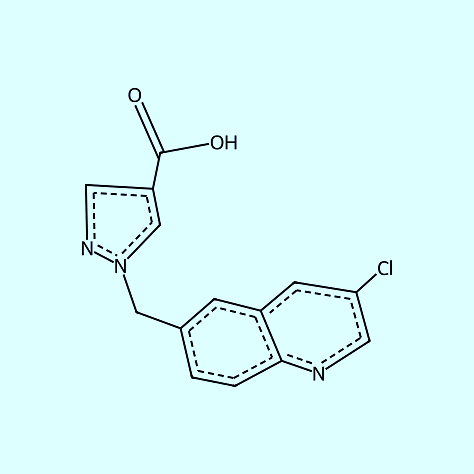 O=C(O)c1cnn(Cc2ccc3ncc(Cl)cc3c2)c1